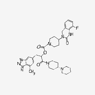 Cc1cc(CC(OC(=O)N2CCC(N3Cc4cccc(F)c4NC3=O)CC2)C(=O)N2CCC(N3CCCCC3)CC2)cc2nn[nH]c12